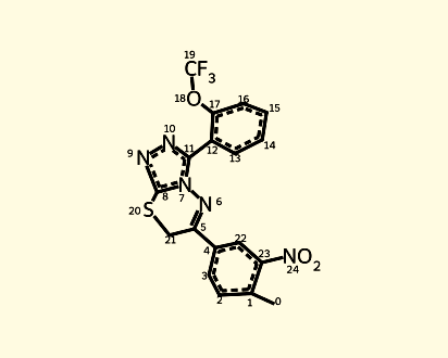 Cc1ccc(C2=Nn3c(nnc3-c3ccccc3OC(F)(F)F)SC2)cc1[N+](=O)[O-]